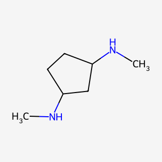 CNC1CCC(NC)C1